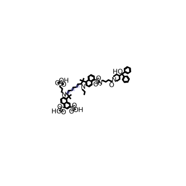 CCC[N+]1=C(/C=C/C=C/C=C2/N(CCCS(=O)(=O)O)c3ccc4c(S(=O)(=O)O)cc(S(=O)(=O)O)cc4c3C2(C)C)C(C)(C)c2c1ccc1c(S(=O)(=O)N(C)CCCC(=O)N3CCC(C(O)(c4ccccc4)c4ccccc4)CC3)cccc21